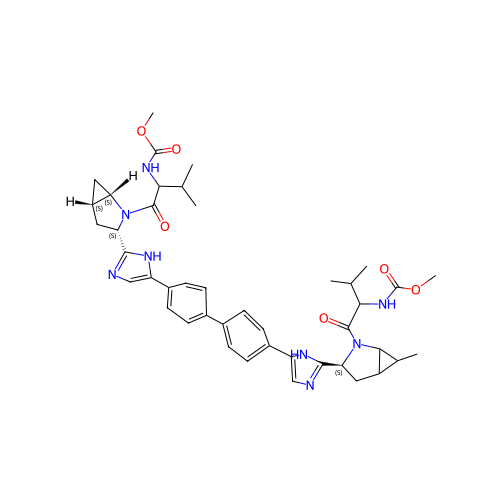 COC(=O)NC(C(=O)N1C2C(C)C2C[C@H]1c1ncc(-c2ccc(-c3ccc(-c4cnc([C@@H]5C[C@@H]6C[C@@H]6N5C(=O)C(NC(=O)OC)C(C)C)[nH]4)cc3)cc2)[nH]1)C(C)C